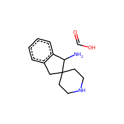 NC1c2ccccc2CC12CCNCC2.O=CO